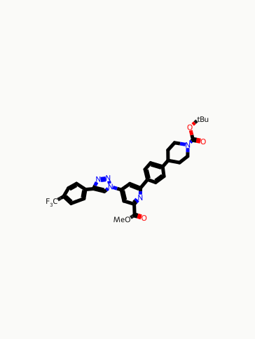 COC(=O)c1cc(-n2cc(-c3ccc(C(F)(F)F)cc3)nn2)cc(-c2ccc(C3CCN(C(=O)OC(C)(C)C)CC3)cc2)n1